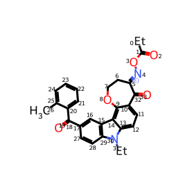 CCC(=O)O/N=C1\CCOc2c(ccc3c2c2cc(C(=O)c4ccccc4C)ccc2n3CC)C1=O